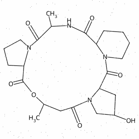 CC1CC(=O)N2CC(O)CC2C(=O)N2CCCCC2C(=O)NC(C)C(=O)N2CCCC2C(=O)O1